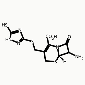 NC1C(=O)N2C(C(=O)O)=C(CSc3n[nH]c(S)n3)CS[C@@H]12